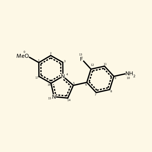 COc1ccn2c(-c3ccc(N)cc3F)cnc2c1